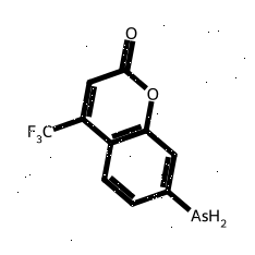 O=c1cc(C(F)(F)F)c2ccc([AsH2])cc2o1